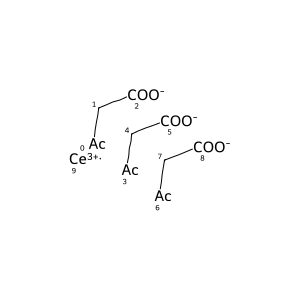 CC(=O)CC(=O)[O-].CC(=O)CC(=O)[O-].CC(=O)CC(=O)[O-].[Ce+3]